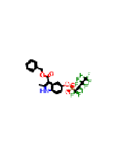 Cc1[nH]c2ccc(OS(=O)(=O)C(F)(F)C(F)(F)C(F)(F)C(F)(F)F)cc2c1C(=O)OCc1ccccc1